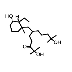 CC(C)(O)CCC[C@@H](CCC(=O)C(C)(C)O)[C@H]1CC[C@H]2[C@@H](O)CCC[C@@]12C